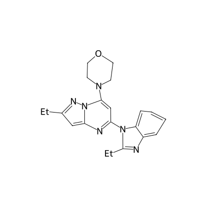 CCc1cc2nc(-n3c(CC)nc4ccccc43)cc(N3CCOCC3)n2n1